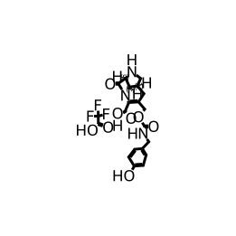 O=C(NCc1ccc(O)cc1)OCC1=C(C(=O)O)N2C(=O)[C@H]3NC[C@@H](C1)[C@H]32.O=C(O)C(F)(F)F